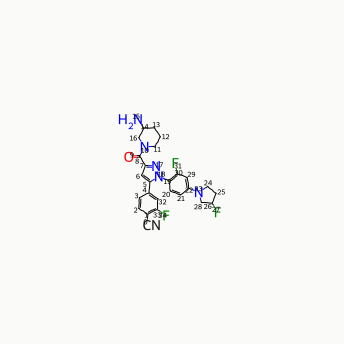 N#Cc1ccc(-c2cc(C(=O)N3CCCC(N)C3)nn2-c2ccc(N3CCC(F)C3)cc2F)cc1F